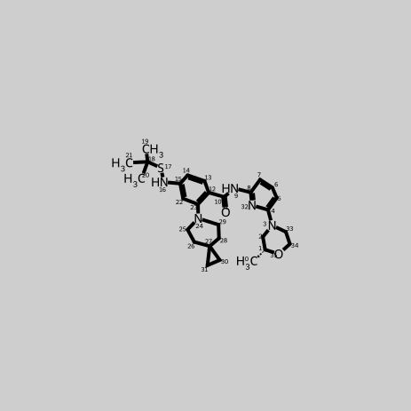 C[C@@H]1CN(c2cccc(NC(=O)c3ccc(NSC(C)(C)C)cc3N3CCC4(CC3)CC4)n2)CCO1